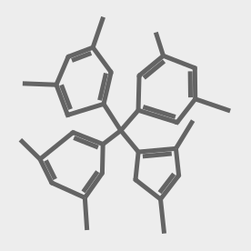 CC1=CC(C)=C(C(c2cc(C)cc(C)c2)(c2cc(C)cc(C)c2)c2cc(C)cc(C)c2)C1